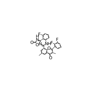 Cc1cc([C@@H](C)Nc2cccc(F)c2-c2noc(=O)[nH]2)c2oc(-c3cccc(F)c3F)c(C)c(=O)c2c1